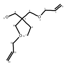 C=CCOCC(CC)(C[O])COCC=C